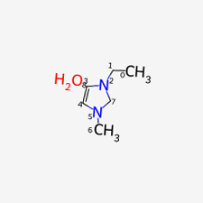 CCN1C=CN(C)C1.O